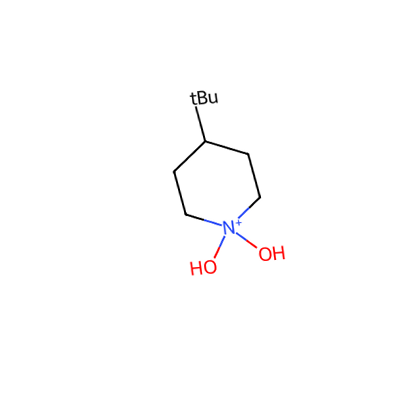 CC(C)(C)C1CC[N+](O)(O)CC1